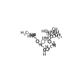 CCCNNC(=O)/C=C/c1ccc(CN(CCc2c[nH]c3ccccc23)C2CCCC([C@H](NC(=O)[C@@H]3C[C@@H](O)CN3C(=O)[C@@H](NC(C)=O)C(C)(C)C)c3ccc(-c4scnc4C)cc3)CC2)cc1